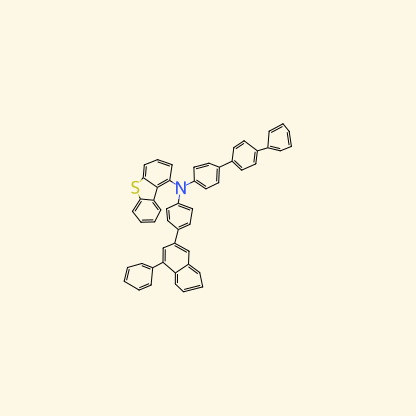 c1ccc(-c2ccc(-c3ccc(N(c4ccc(-c5cc(-c6ccccc6)c6ccccc6c5)cc4)c4cccc5sc6ccccc6c45)cc3)cc2)cc1